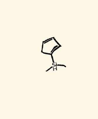 C[SiH](C)C1=CC=CC1